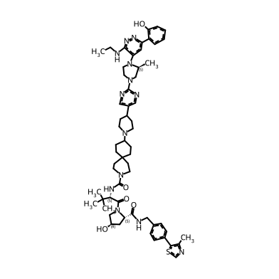 CCNc1nnc(-c2ccccc2O)cc1N1CCN(c2ncc(C3CCN(C4CCC5(CC4)CCN(C(=O)N[C@H](C(=O)N4C[C@H](O)C[C@H]4C(=O)NCc4ccc(-c6scnc6C)cc4)C(C)(C)C)CC5)CC3)cn2)C[C@@H]1C